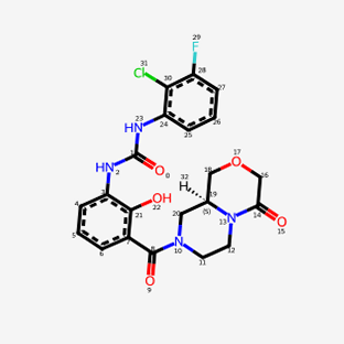 O=C(Nc1cccc(C(=O)N2CCN3C(=O)COC[C@@H]3C2)c1O)Nc1cccc(F)c1Cl